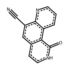 N#Cc1cc2cc[nH]c(=O)c2c2cccnc12